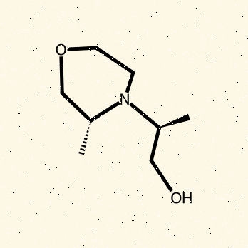 C[C@@H]1COCCN1[C@@H](C)CO